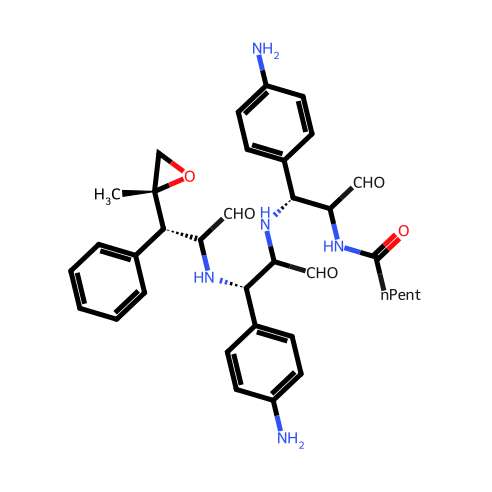 CCCCCC(=O)NC(C=O)[C@H](NC(C=O)[C@@H](NC(C=O)[C@H](c1ccccc1)[C@]1(C)CO1)c1ccc(N)cc1)c1ccc(N)cc1